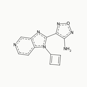 Nc1nonc1-c1nc2cnccc2n1C1=CC=C1